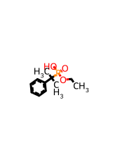 CCOP(=O)(O)C(C)(C)c1ccccc1